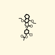 CCOc1c2c(c(OCC)c3ccccc13)C(=O)N(c1ccc(OC(C)=O)c(Cl)c1)C2